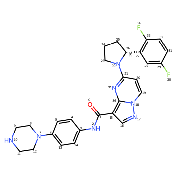 O=C(Nc1ccc(N2CCNCC2)cc1)c1cnn2ccc(N3CCC[C@@H]3c3cc(F)ccc3F)nc12